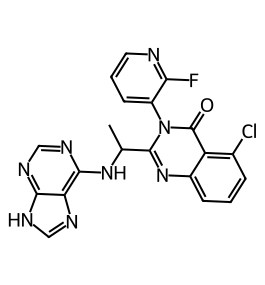 CC(Nc1ncnc2[nH]cnc12)c1nc2cccc(Cl)c2c(=O)n1-c1cccnc1F